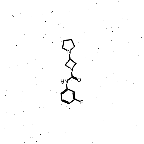 O=C(Nc1cccc(F)c1)N1CC(N2CCCC2)C1